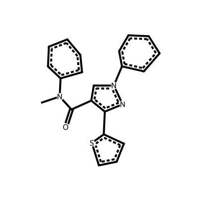 CN(C(=O)c1cn(-c2ccccc2)nc1-c1cccs1)c1ccccc1